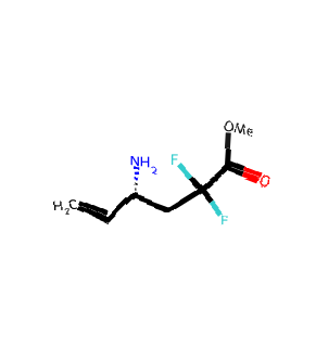 C=C[C@H](N)CC(F)(F)C(=O)OC